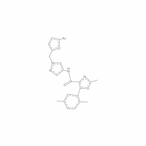 CC(=O)c1ccc(Cn2cc(NC(=O)c3nc(C)oc3-c3cc(C)ccc3C)cn2)o1